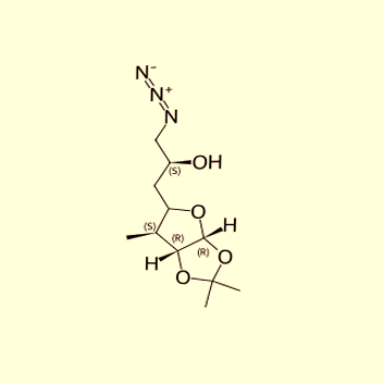 C[C@H]1C(C[C@H](O)CN=[N+]=[N-])O[C@@H]2OC(C)(C)O[C@@H]21